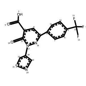 O=C(O)c1cc(-c2ccc(C(F)(F)F)cc2)nn(-c2cnsc2)c1=O